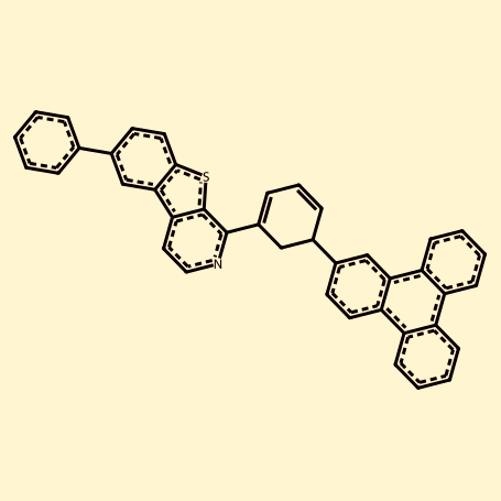 C1=CC(c2ccc3c4ccccc4c4ccccc4c3c2)CC(c2nccc3c2sc2ccc(-c4ccccc4)cc23)=C1